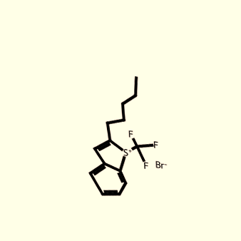 CCCCCc1cc2ccccc2[s+]1C(F)(F)F.[Br-]